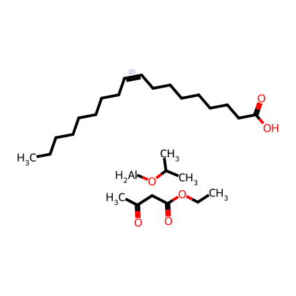 CC(C)[O][AlH2].CCCCCCCC/C=C\CCCCCCCC(=O)O.CCOC(=O)CC(C)=O